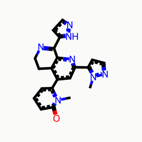 Cn1nccc1-c1cc(-c2cccc(=O)n2C)c2c(n1)C(c1ccn[nH]1)=NCC2